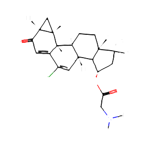 CCN(CC)CC(=O)O[C@@H]1C[C@](OC(C)=O)(C(C)=O)[C@@]2(C)CC[C@H]3[C@@H](C=C(Cl)C4=CC(=O)[C@@H]5C[C@@H]5[C@@]43C)[C@H]12